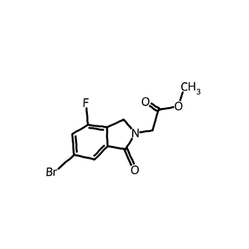 COC(=O)CN1Cc2c(F)cc(Br)cc2C1=O